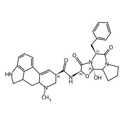 CN1C[C@H](C(=O)N[C@@H]2O[C@]3(O)C4CCCN4C(=O)[C@H](Cc4ccccc4)N3C2=O)C=C2c3cccc4c3C(CN4)CC21